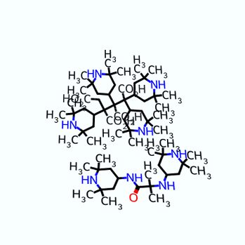 CC1(C)CC(C(CC(=O)O)(C(=O)O)C(C(=O)O)(C2CC(C)(C)NC(C)(C)C2)C(C(=O)O)(C2CC(C)(C)NC(C)(C)C2)C2CC(C)(C)NC(C)(C)C2)CC(C)(C)N1.CC1(C)CC(NC(=O)C(C)(C)NC2CC(C)(C)NC(C)(C)C2)CC(C)(C)N1